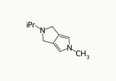 CC(C)N1Cc2cn(C)cc2C1